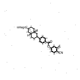 CCCCCCC[C@H]1CC[C@@H]2CC(c3ccc(C(=O)Oc4ccc(C#N)c(F)c4)cc3)CC[C@H]2C1